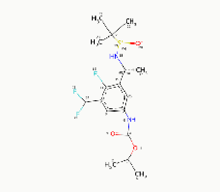 CC(C)OC(=O)Nc1cc(C(F)F)c(F)c([C@@H](C)N[S@+]([O-])C(C)(C)C)c1